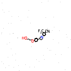 N#Cc1ccc(N2CCC(c3ccc(OCCCCO)cc3)C2)cc1C(F)(F)F